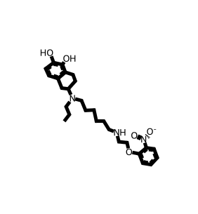 CCCN(CCCCCCNCCOc1ccccc1[N+](=O)[O-])C1CCc2c(ccc(O)c2O)C1